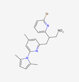 Cc1cc(CC(C[N+](=O)[O-])c2cccc(Br)n2)nc(-n2c(C)ccc2C)c1